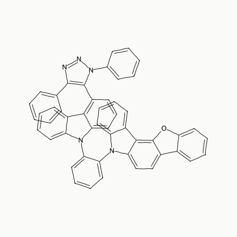 c1ccc(-c2nnn(-c3ccccc3)c2-c2cccc3c2c2ccccc2n3-c2ccccc2-n2c3ccccc3c3c4oc5ccccc5c4ccc32)cc1